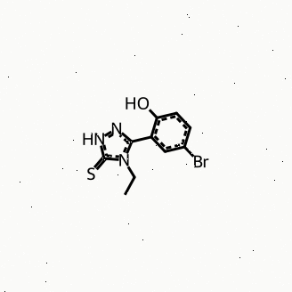 CCn1c(-c2cc(Br)ccc2O)n[nH]c1=S